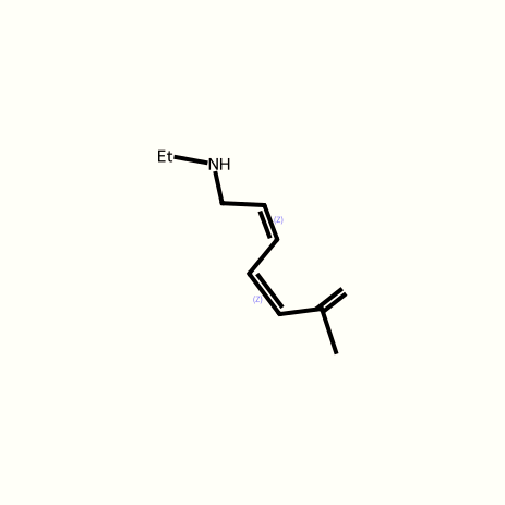 C=C(C)/C=C\C=C/CNCC